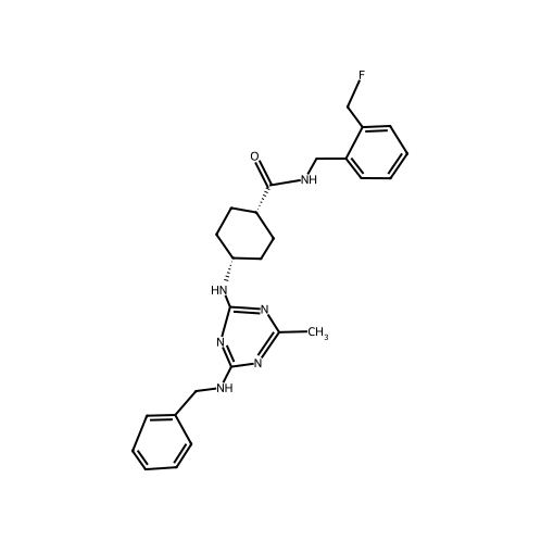 Cc1nc(NCc2ccccc2)nc(N[C@H]2CC[C@@H](C(=O)NCc3ccccc3CF)CC2)n1